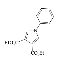 CCOC(=O)c1cn(-c2ccccc2)cc1C(=O)OCC